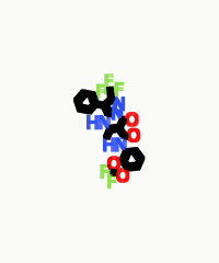 Cc1[nH]c2c(-c3ccccc3)c(C(F)(F)F)nn2c(=O)c1C(=O)Nc1cccc2c1OC(F)(F)O2